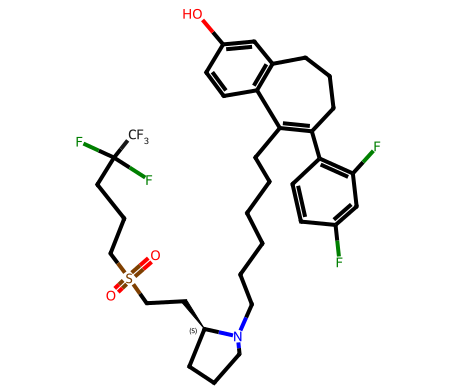 O=S(=O)(CCCC(F)(F)C(F)(F)F)CC[C@@H]1CCCN1CCCCCCC1=C(c2ccc(F)cc2F)CCCc2cc(O)ccc21